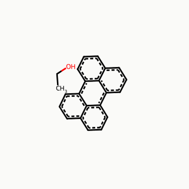 CCO.c1cc2cccc3c4cccc5cccc(c(c1)c23)c54